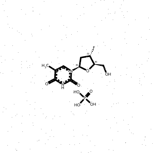 Cc1cn([C@H]2C[C@H](F)[C@@H](CO)O2)c(=O)[nH]c1=O.O=P(O)(O)O